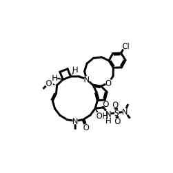 CO[C@H]1/C=C/CCCN(C)C(=O)C[C@@](O)(C(=O)NS(=O)(=O)N(C)C)c2ccc3c(c2)N(CCCCc2cc(Cl)ccc2CO3)C[C@@H]2CC[C@H]21